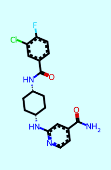 NC(=O)c1ccnc(N[C@H]2CC[C@@H](NC(=O)c3ccc(F)c(Cl)c3)CC2)c1